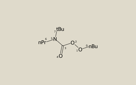 CCCCOOC(=O)N(CCC)C(C)(C)C